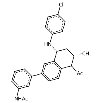 CC(=O)Nc1cccc(-c2ccc3c(c2)[C@H](Nc2ccc(Cl)cc2)C[C@H](C)C3C(C)=O)c1